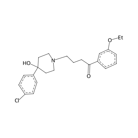 CCOc1cccc(C(=O)CCCN2CCC(O)(c3ccc(Cl)cc3)CC2)c1